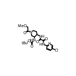 COCC(=O)N1CCC(NC(=O)C(=O)Nc2ccc(Cl)cn2)C(NC(=O)OC(C)(C)C)C1